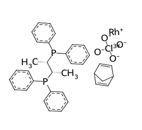 C1=CC2C=CC1C2.C[C@@H]([C@H](C)P(c1ccccc1)c1ccccc1)P(c1ccccc1)c1ccccc1.[O-][Cl+3]([O-])([O-])[O-].[Rh+]